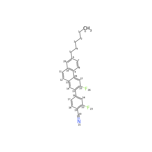 CCCCCCc1ccc2c(ccc3cc(-c4ccc(C#N)c(F)c4)c(F)cc32)c1